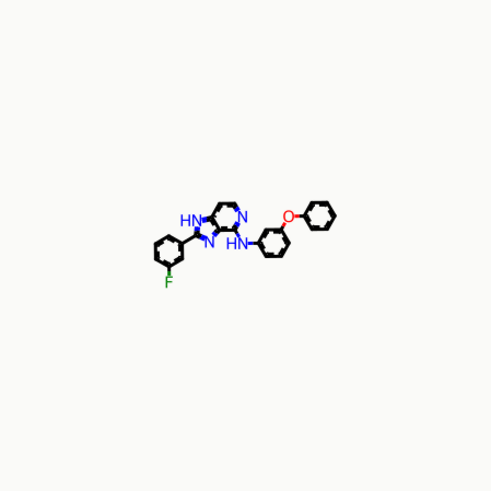 Fc1cccc(-c2nc3c(Nc4cccc(Oc5ccccc5)c4)nccc3[nH]2)c1